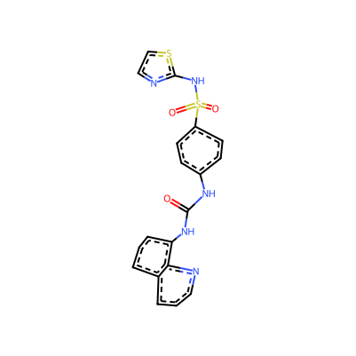 O=C(Nc1ccc(S(=O)(=O)Nc2nccs2)cc1)Nc1cccc2cccnc12